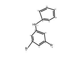 Brc1cc(Br)cc(Nc2ccccc2)c1